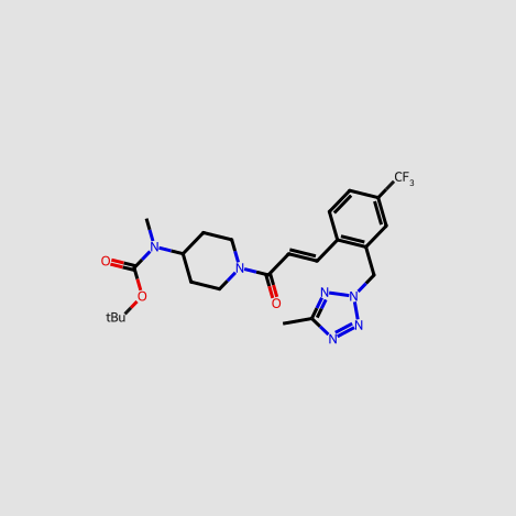 Cc1nnn(Cc2cc(C(F)(F)F)ccc2C=CC(=O)N2CCC(N(C)C(=O)OC(C)(C)C)CC2)n1